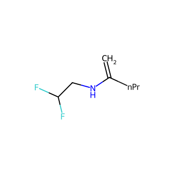 C=C(CCC)NCC(F)F